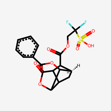 O=C(OC1C2OC(=O)C3C2C[C@@H]1C3C(=O)OCC(F)(F)S(=O)(=O)O)c1ccccc1